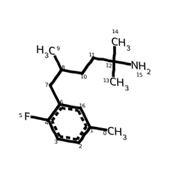 Cc1ccc(F)c(CC(C)CCC(C)(C)N)c1